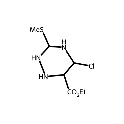 CCOC(=O)C1NNC(SC)NC1Cl